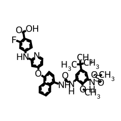 COc1c(NC(=O)Nc2ccc(Oc3ccnc(Nc4ccc(C(=O)O)c(F)c4)c3)c3ccccc23)cc(C(C)(C)C)cc1NS(C)(=O)=O